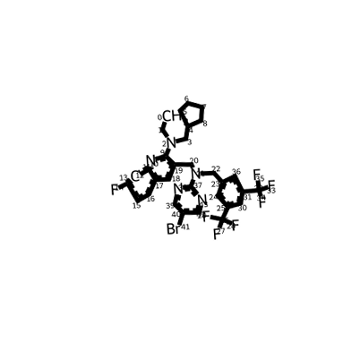 CCN(CC1CCCC1)c1nc2cc(F)ccc2cc1CN(Cc1cc(C(F)(F)F)cc(C(F)(F)F)c1)c1ncc(Br)cn1